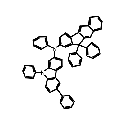 c1ccc(-c2ccc3c(c2)c2ccc(N(c4ccccc4)c4ccc5c(c4)C(c4ccccc4)(c4ccccc4)c4cc6ccccc6cc4-5)cc2n3-c2ccccc2)cc1